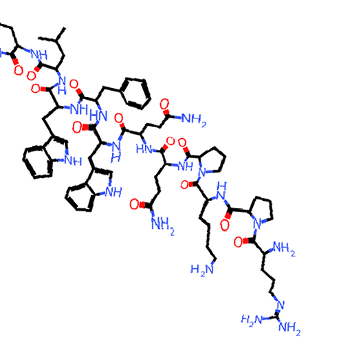 CSCCC(NC(=O)C(CC(C)C)NC(=O)C(Cc1c[nH]c2ccccc12)NC(=O)C(Cc1ccccc1)NC(=O)C(Cc1c[nH]c2ccccc12)NC(=O)C(CCC(N)=O)NC(=O)C(CCC(N)=O)NC(=O)C1CCCN1C(=O)C(CCCCN)NC(=O)C1CCCN1C(=O)C(N)CCCN=C(N)N)C(N)=O